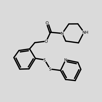 O=C(OCc1ccccc1SSc1ccccn1)N1CCNCC1